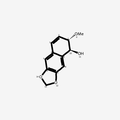 CO[C@H]1C=Cc2cc3c(cc2[C@@H]1O)OCO3